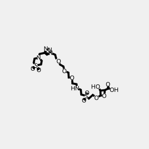 O=C(O)C1OC(OCCS(=O)(=O)CCNCCOCCOCCOCCn2cc(CN3CCS(=O)(=O)CC3)nn2)C1O